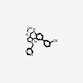 N#Cc1cccc(-c2ccc3c(c2)[C@@H]2[C@@H](CCN2Cc2cncnc2)[C@H](CO)N3)c1